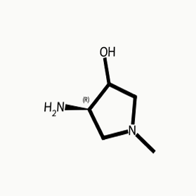 CN1CC(O)[C@H](N)C1